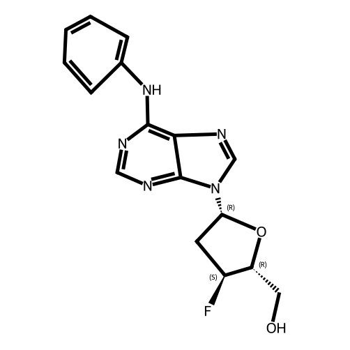 OC[C@H]1O[C@@H](n2cnc3c(Nc4ccccc4)ncnc32)C[C@@H]1F